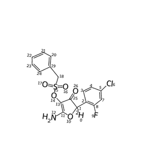 [2H]C1(c2ccc(Cl)cc2F)OC(N)=C(OS(=O)(=O)Cc2ccccc2)C1=O